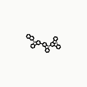 c1ccc2cc(-n3c4ccccc4c4cc(-c5ccc6c(c5)c5ccccc5n6-c5cc6c7ccccc7n7c8ccccc8c(c5)c67)ccc43)ccc2c1